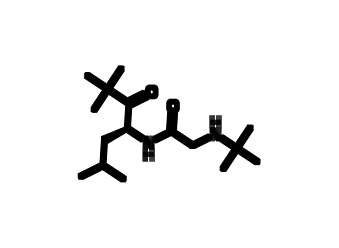 CC(C)C[C@H](NC(=O)CNC(C)(C)C)C(=O)C(C)(C)C